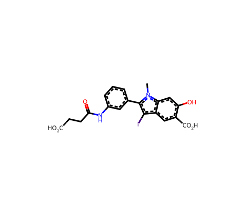 Cn1c(-c2cccc(NC(=O)CCC(=O)O)c2)c(I)c2cc(C(=O)O)c(O)cc21